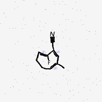 CC1=C/CC/C=C(F)/C(C#N)=C\1